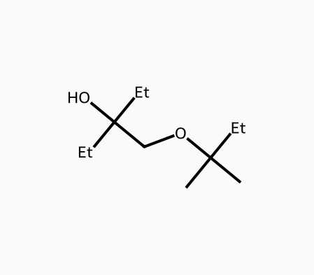 CCC(O)(CC)COC(C)(C)CC